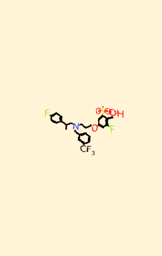 CC(CN(CCCOc1cc(F)c(CO)c(S(C)(=O)=O)c1)Cc1cccc(C(F)(F)F)c1)c1ccc(F)cc1